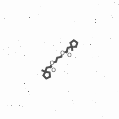 CC1(CC(=O)OCCCOC(=O)CC2(C)CCCC2)CCCC1